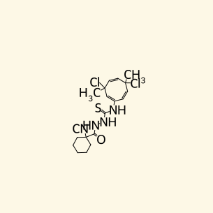 CC1(Cl)/C=C\C(NC(=S)NNC(=O)C2(C#N)CCCCC2)=C/C(C)(Cl)/C=C\1